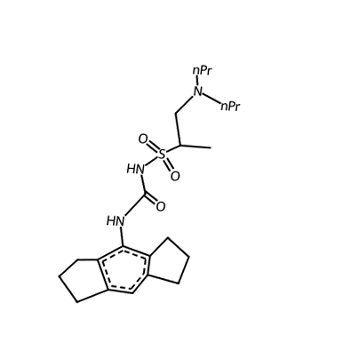 CCCN(CCC)CC(C)S(=O)(=O)NC(=O)Nc1c2c(cc3c1CCC3)CCC2